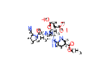 COC(=O)c1ccc(NCC(C)(C)NCC(=O)N2CCC[C@H]2C#N)nc1.O=C(O)/C=C/C(=O)O